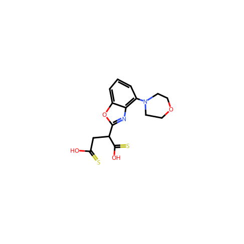 OC(=S)CC(C(O)=S)c1nc2c(N3CCOCC3)cccc2o1